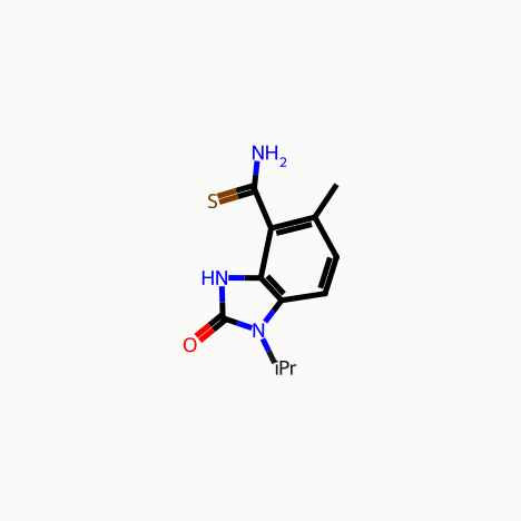 Cc1ccc2c([nH]c(=O)n2C(C)C)c1C(N)=S